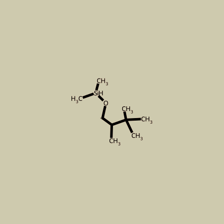 CC([CH]O[SiH](C)C)C(C)(C)C